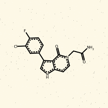 NC(=O)Cn1ccc2[nH]cc(-c3ccc(F)c(Cl)c3)c2c1=O